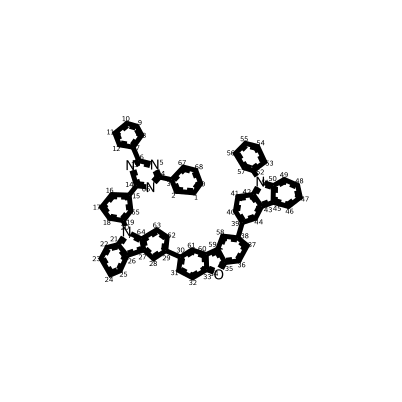 c1ccc(-c2nc(-c3ccccc3)nc(-c3cccc(-n4c5ccccc5c5cc(-c6ccc7oc8ccc(-c9ccc%10c(c9)c9ccccc9n%10-c9ccccc9)cc8c7c6)ccc54)c3)n2)cc1